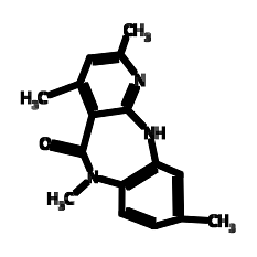 Cc1ccc2c(c1)Nc1nc(C)cc(C)c1C(=O)N2C